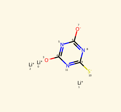 [Li+].[Li+].[Li+].[O-]c1nc([O-])nc([S-])n1